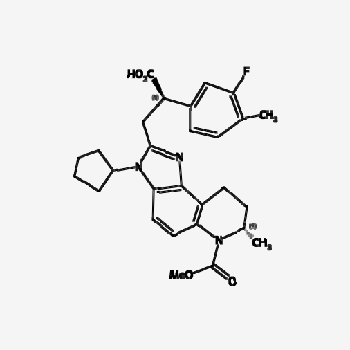 COC(=O)N1c2ccc3c(nc(C[C@@H](C(=O)O)c4ccc(C)c(F)c4)n3C3CCCC3)c2CC[C@@H]1C